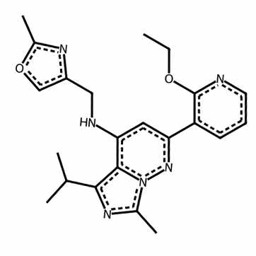 CCOc1ncccc1-c1cc(NCc2coc(C)n2)c2c(C(C)C)nc(C)n2n1